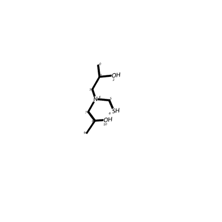 CC(O)CN(CS)CC(C)O